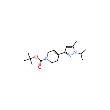 Cc1cc(C2=CCN(C(=O)OC(C)(C)C)CC2)nn1C(C)C